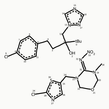 CC(C)(C)C(O)(CCc1ccc(Cl)cc1)Cn1cncn1.CN1COCN(Cc2cnc(Cl)s2)/C1=N/[N+](=O)[O-]